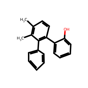 Cc1ccc(-c2ccccc2O)c(-c2ccccc2)c1C